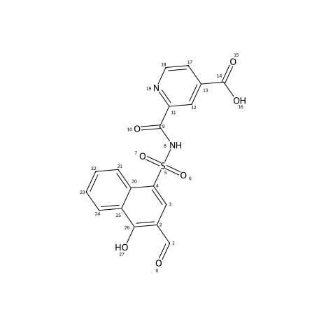 O=Cc1cc(S(=O)(=O)NC(=O)c2cc(C(=O)O)ccn2)c2ccccc2c1O